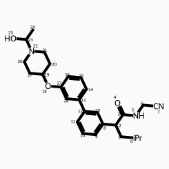 CC(C)CC(C(=O)NCC#N)c1cccc(-c2cccc(OC3CCN(C(C)O)CC3)c2)c1